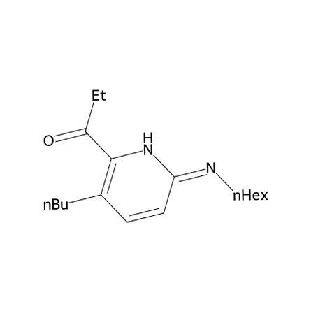 CCCCCCN=c1ccc(CCCC)c(C(=O)CC)[nH]1